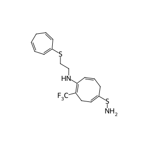 NS/C1=C/C/C(C(F)(F)F)=C(NCCSC2=CC=CCC=C2)\C=C/C1